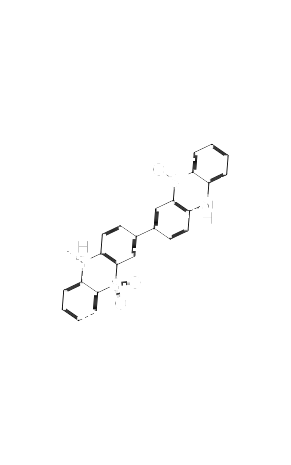 C[Si@H]1c2ccccc2[S+]([O-])c2cc(-c3ccc4c(c3)S(=O)(=O)c3ccccc3[Si@H]4C)ccc21